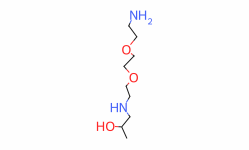 CC(O)CNCCOCCOCCN